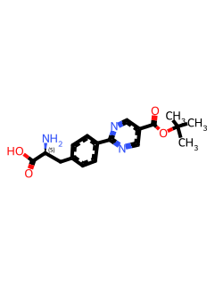 CC(C)(C)OC(=O)c1cnc(-c2ccc(C[C@H](N)C(=O)O)cc2)nc1